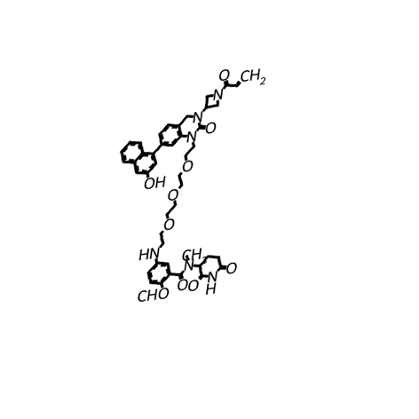 C=CC(=O)N1CC(N2Cc3ccc(-c4cc(O)cc5ccccc45)cc3N(CCOCCOCCOCCNc3ccc(C=O)c(C(=O)N(C)C4CCC(=O)NC4=O)c3)C2=O)C1